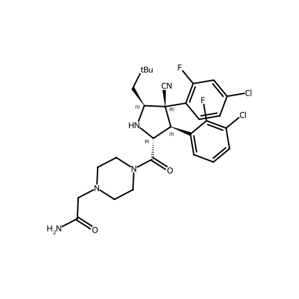 CC(C)(C)C[C@@H]1N[C@@H](C(=O)N2CCN(CC(N)=O)CC2)[C@H](c2cccc(Cl)c2F)[C@@]1(C#N)c1ccc(Cl)cc1F